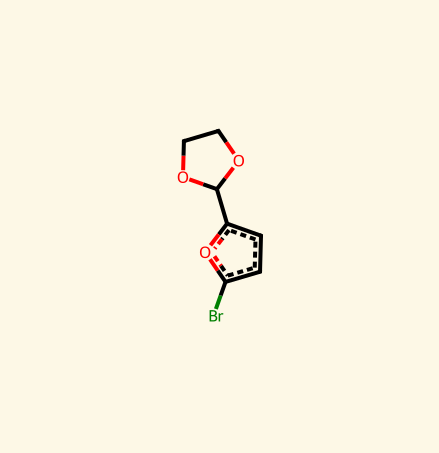 Brc1ccc(C2OCCO2)o1